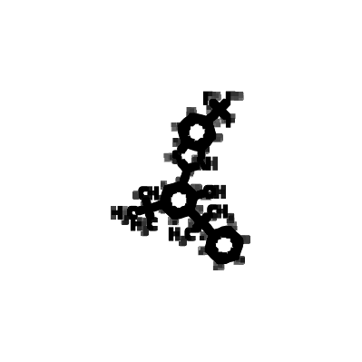 CC(C)(C)c1cc(C2Nc3cc(C(F)(F)F)ccc3S2)c(O)c(C(C)(C)c2ccccc2)c1